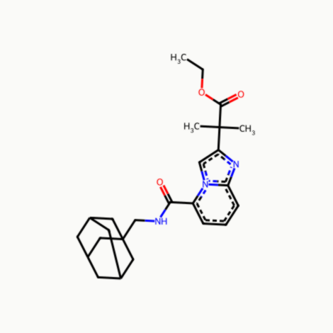 CCOC(=O)C(C)(C)c1cn2c(C(=O)NCC34CC5CC(CC(C5)C3)C4)cccc2n1